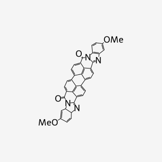 COC1=CC2C(C=C1)N=c1c3ccc4c5ccc6c7c(ccc(c8ccc(c(=O)n12)c3c84)c57)c(=O)n1c2ccc(OC)cc2nc61